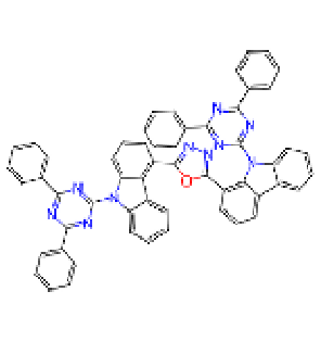 c1ccc(-c2nc(-c3ccccc3)nc(-n3c4ccccc4c4c(-c5nnc(-c6cccc7c8ccccc8n(-c8nc(-c9ccccc9)nc(-c9ccccc9)n8)c67)o5)cccc43)n2)cc1